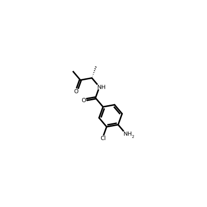 CC(=O)[C@H](C)NC(=O)c1ccc(N)c(Cl)c1